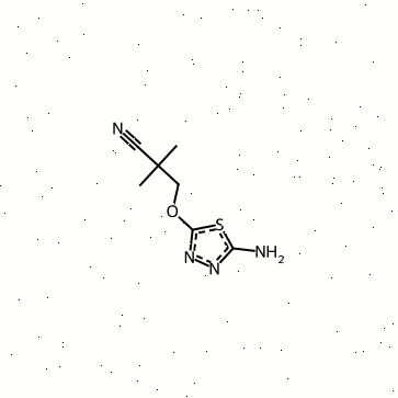 CC(C)(C#N)COc1nnc(N)s1